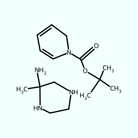 CC(C)(C)OC(=O)N1C=CC=CC1.CC1(N)CNCCN1